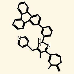 C=C1CC=CC(C2=NC(c3cccc(-c4ccc5c6ccccc6c6ccccc6c5c4)c3)NC(Cc3ccncc3)=C2C)=CC1C